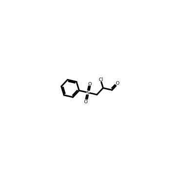 O=CC(Cl)CS(=O)(=O)c1ccccc1